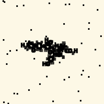 CC(=O)N(C(=O)[C@H](C)N)c1ccc(-c2ccc(CN(C(=O)C(N)c3ccc(O)cc3)[C@@H]3C(=O)N4[C@@H]3SC(C)(C)[C@@H]4C(=O)O)c(=O)[nH]2)cc1